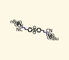 CCCCS(=O)(=O)O/N=C(C#N)/C=C/c1ccc(S(=O)(=O)c2ccc(/C=C/C(C#N)=N/OS(=O)(=O)CCCC)cc2)cc1